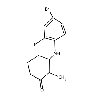 CC1C(=O)CCCC1Nc1ccc(Br)cc1I